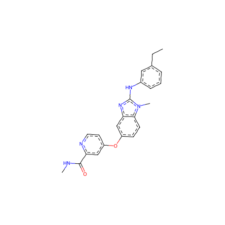 CCc1cccc(Nc2nc3cc(Oc4ccnc(C(=O)NC)c4)ccc3n2C)c1